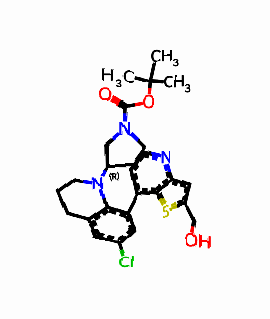 CC(C)(C)OC(=O)N1CC[C@@H](N2CCCc3cc(Cl)cc(-c4ccnc5cc(CO)sc45)c32)C1